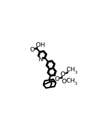 CCOC(OC)Oc1cc2ccc(-c3ccc(C(=O)O)cn3)cc2cc1C12CC3CC(CC(C3)C1)C2